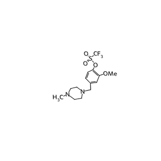 COc1cc(CN2CCN(C)CC2)ccc1OS(=O)(=O)C(F)(F)F